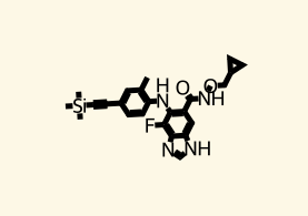 Cc1cc(C#C[Si](C)(C)C)ccc1Nc1c(C(=O)NOCC2CC2)cc2[nH]cnc2c1F